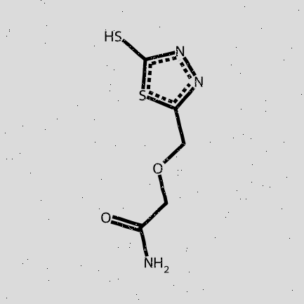 NC(=O)COCc1nnc(S)s1